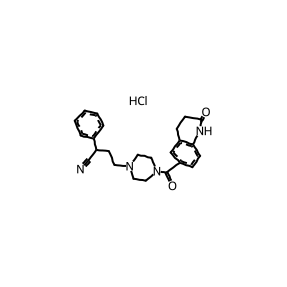 Cl.N#CC(CCN1CCN(C(=O)c2ccc3c(c2)CCC(=O)N3)CC1)c1ccccc1